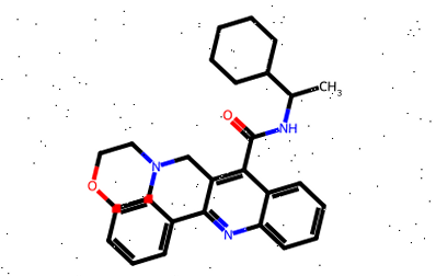 CC(NC(=O)c1c(CN2CCOCC2)c(-c2ccccc2)nc2ccccc12)C1CCCCC1